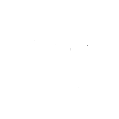 c1ccc(-c2cc(-c3ccc(-n4c5cc(-c6ccc7c8ccccc8n(-c8ccccc8)c7c6)ccc5c5ncccc54)cc3)cc(-c3ccccc3)n2)cc1